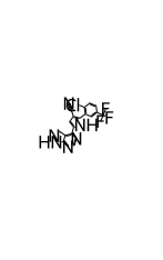 N#Cc1cc(-c2ncnc3[nH]ncc23)[nH]c1-c1cc(C(F)(F)F)ccc1Cl